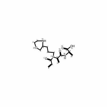 C=CC(=O)N(CCCC1COCCN1)C(=C)C(=O)NC(=C)C(=O)O